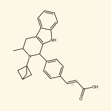 CC1Cc2c([nH]c3ccccc23)C(c2ccc(/C=C/C(=O)O)cc2)N1C12CC(C1)C2